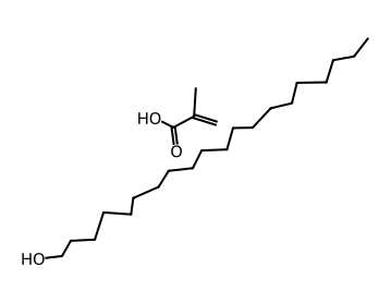 C=C(C)C(=O)O.CCCCCCCCCCCCCCCCCCCCO